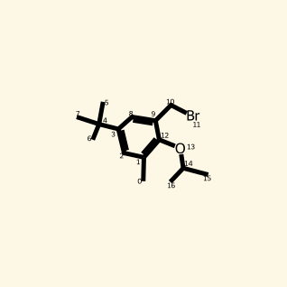 Cc1cc(C(C)(C)C)cc(CBr)c1OC(C)C